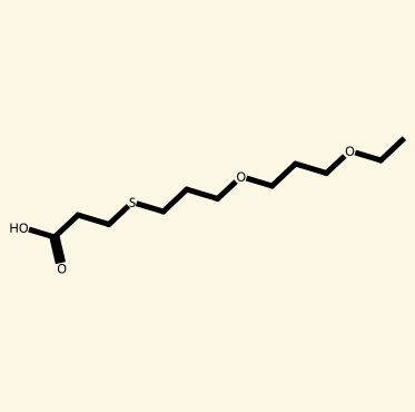 CCOCCCOCCCSCCC(=O)O